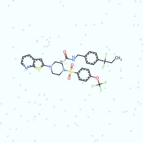 CCC(F)(F)c1ccc(CNC(=O)[C@H]2CN(c3cc4cccnc4s3)CCN2S(=O)(=O)c2ccc(OC(F)(F)F)cc2)cc1